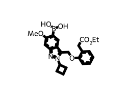 CCOC(=O)Cc1ccccc1OCc1c2cc(B(O)O)c(OC)cc2nn1C1CCC1